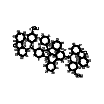 CC(C)(C)c1ccc(N(c2ccc3c(c2)C(c2ccccc2)(c2ccccc2)c2c-3c3ccccc3c3cc(N(c4ccc(C(C)(C)C)cc4)c4cccc5oc6ccccc6c45)ccc23)c2cccc3oc4ccccc4c23)cc1